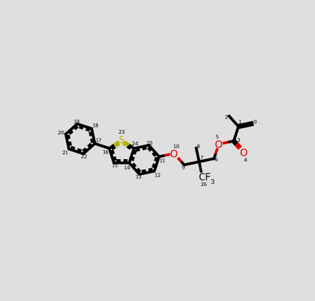 C=C(C)C(=O)OCC(C)(COc1ccc2cc(-c3ccccc3)sc2c1)C(F)(F)F